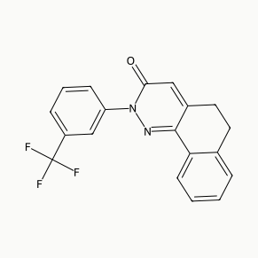 O=c1cc2c(nn1-c1cccc(C(F)(F)F)c1)-c1ccccc1CC2